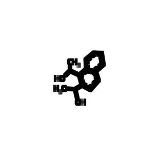 CC(O)c1ccc2ccccc2c1C(C)O